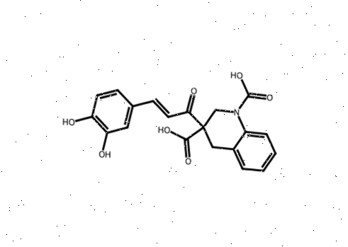 O=C(O)N1CC(C(=O)O)(C(=O)C=Cc2ccc(O)c(O)c2)Cc2ccccc21